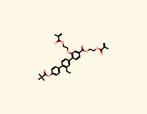 C=C(C)C(=O)OCCOC(=O)c1ccc(-c2ccc(-c3ccc(OC(=O)C(C)(C)C)cc3)c(CC)c2)c(OCCOC(=O)C(=C)C)c1